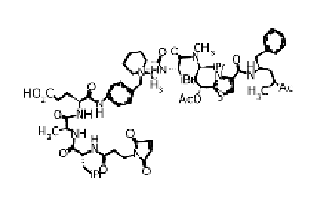 CC[C@H](C)[C@H](NC(=O)[C@H]1CCCC[N+]1(C)Cc1ccc(NC(=O)[C@H](CCC(=O)O)NC(=O)[C@H](C)NC(=O)[C@@H](CC(C)C)NC(=O)CCN2C(=O)C=CC2=O)cc1)C(=O)N(C)[C@H](C[C@@H](OC(C)=O)c1nc(C(=O)N[C@@H](Cc2ccccc2)C[C@H](C)C(C)=O)cs1)C(C)C